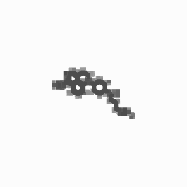 NCCCNC1CCC(N2CCc3cnc(O)c4cccc2c34)CC1